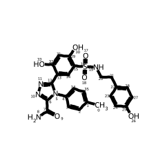 Cc1ccc(-n2c(C(N)=O)nnc2-c2cc(S(=O)(=O)NCCc3ccc(O)cc3)c(O)cc2O)cc1